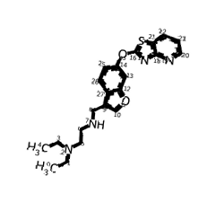 CCN(CC)CCNCc1coc2cc(Oc3nc4ncccc4s3)ccc12